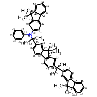 CCCC(C)(c1ccc2c(c1)C(C)(C)c1ccccc1-2)c1ccc2c(c1)C(C)(C)c1cc(C(C)(CCC)N(c3ccccc3)c3ccc4c(c3)C(C)(C)c3ccccc3-4)ccc1-2